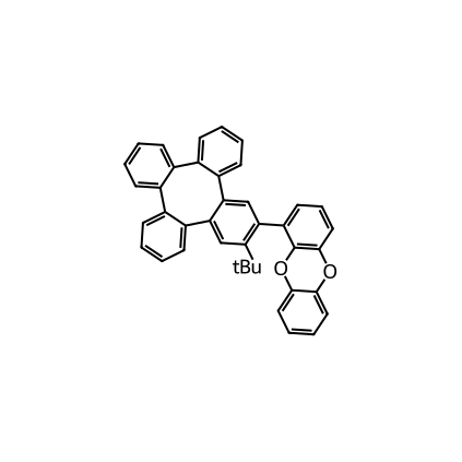 CC(C)(C)c1cc2c(cc1-c1cccc3c1Oc1ccccc1O3)-c1ccccc1-c1ccccc1-c1ccccc1-2